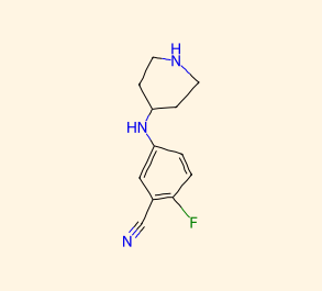 N#Cc1cc(NC2CCNCC2)ccc1F